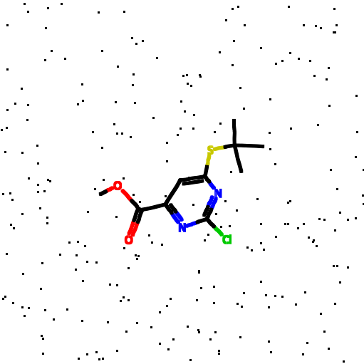 COC(=O)c1cc(SC(C)(C)C)nc(Cl)n1